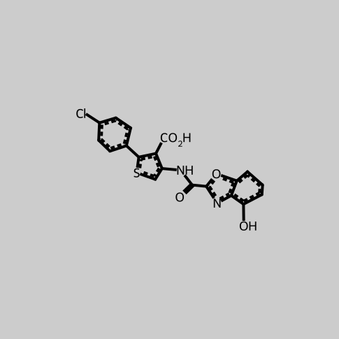 O=C(Nc1csc(-c2ccc(Cl)cc2)c1C(=O)O)c1nc2c(O)cccc2o1